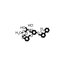 CCOC(=O)C(CO)NCc1ccc(OCc2cccc(-c3ccccc3)c2C)cc1OCc1cccc2nonc12.Cl